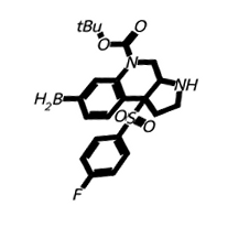 Bc1ccc2c(c1)N(C(=O)OC(C)(C)C)CC1NCCC21S(=O)(=O)c1ccc(F)cc1